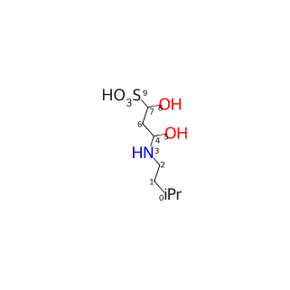 CC(C)CCNC(O)CC(O)S(=O)(=O)O